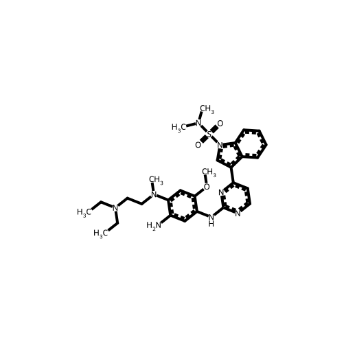 CCN(CC)CCN(C)c1cc(OC)c(Nc2nccc(-c3cn(S(=O)(=O)N(C)C)c4ccccc34)n2)cc1N